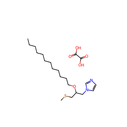 CCCCCCCCCCCCOC(CSC)Cn1ccnc1.O=C(O)C(=O)O